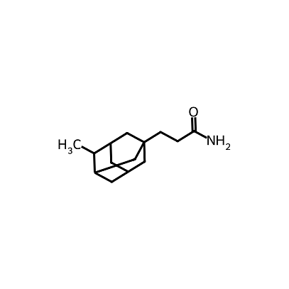 CC1C2CC3CC1CC(CCC(N)=O)(C3)C2